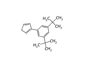 CC(C)(C)c1cc(C2=[C]CC=C2)cc(C(C)(C)C)c1